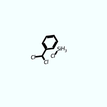 ClC(Cl)c1ccccc1.[SiH3]Cl